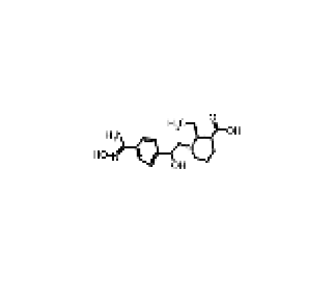 CCC1C(C(=O)O)CCCN1CC(O)c1ccc(C(N)=NO)cc1